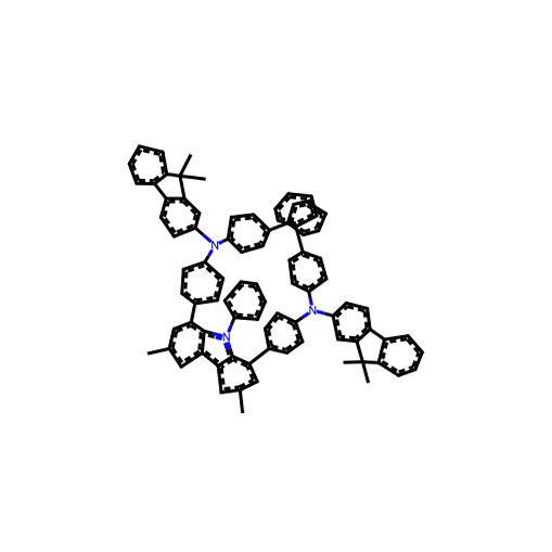 Cc1cc(-c2ccc(N(c3ccc(-c4ccccc4)cc3)c3ccc4c(c3)C(C)(C)c3ccccc3-4)cc2)c2c(c1)c1cc(C)cc(-c3ccc(N(c4ccc(-c5ccccc5)cc4)c4ccc5c(c4)C(C)(C)c4ccccc4-5)cc3)c1n2-c1ccccc1